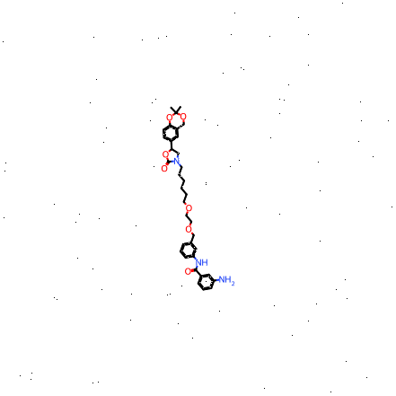 CC1(C)OCc2cc(C3CN(CCCCCCOCCOCc4cccc(NC(=O)c5cccc(N)c5)c4)C(=O)O3)ccc2O1